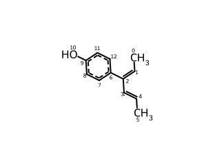 C/C=C(/[C]=C/C)c1ccc(O)cc1